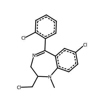 CN1c2ccc(Cl)cc2C(c2ccccc2Cl)=NCC1CCl